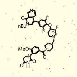 CCCCn1cc(-c2cc(F)c(O[C@@H]3CCN(CC4CCN(C(=O)c5ccc(OC)c(N6CCC(=O)NC6=O)c5)CC4)C[C@H]3F)c(F)c2)c2ccncc2c1=O